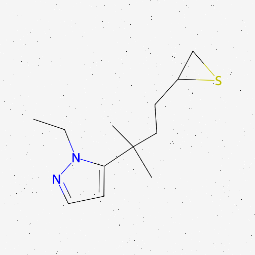 CCn1nccc1C(C)(C)CCC1CS1